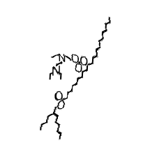 CCCCCCCCCCCCC(CCCCCCCCCC(=O)OCC(CCCC)CCCCCC)OC(=O)OCCN(CC)CCN(CC)CC